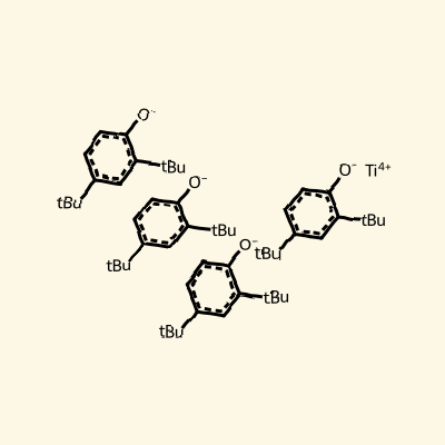 CC(C)(C)c1ccc([O-])c(C(C)(C)C)c1.CC(C)(C)c1ccc([O-])c(C(C)(C)C)c1.CC(C)(C)c1ccc([O-])c(C(C)(C)C)c1.CC(C)(C)c1ccc([O-])c(C(C)(C)C)c1.[Ti+4]